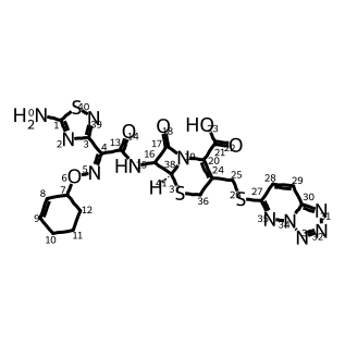 Nc1nc(C(=NOC2C=CCCC2)C(=O)NC2C(=O)N3C(C(=O)O)=C(CSc4ccc5nnnn5n4)CS[C@@H]23)ns1